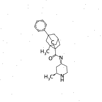 C[C@H]1C/C(=N\C(=O)C23CC4CC(c5ccccc5)(CC2(C)C4)C3)CCN1